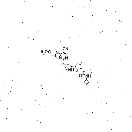 N#Cc1cnc(Nc2cc([C@H]3CC[C@@H](OC(=O)NC45CC(C4)C5)[C@H]3F)[nH]n2)n2cc(COC(F)(F)F)nc12